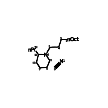 C#N.CCCCCCCCCCCN1CCCCC1CCC